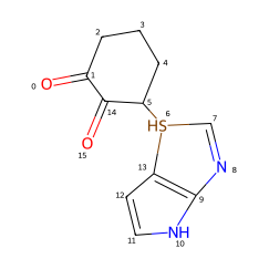 O=C1CCCC([SH]2C=Nc3[nH]ccc32)C1=O